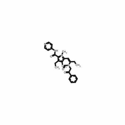 CC/C(=C/c1c(C)c(CC)c(C(=O)Nc2ccncc2)n1C)N(C=O)CC(=O)c1ccccc1